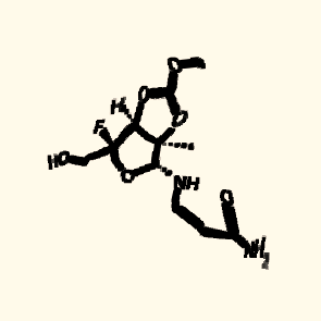 COC1O[C@H]2[C@@](C)(O1)[C@H](N/C=C\C(N)=O)O[C@]2(F)CO